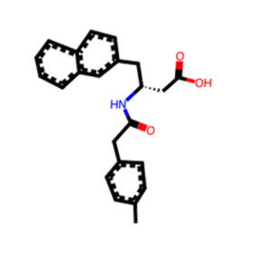 Cc1ccc(CC(=O)N[C@@H](CC(=O)O)Cc2ccc3ccccc3c2)cc1